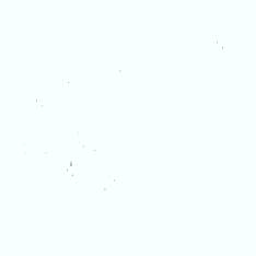 CCCOc1ccc(SN2CCN(CCOC(=O)CCOCCC[N+](=O)[O-])CC2)cc1-c1nc2c(CCC)cn(CC)c2c(=O)[nH]1